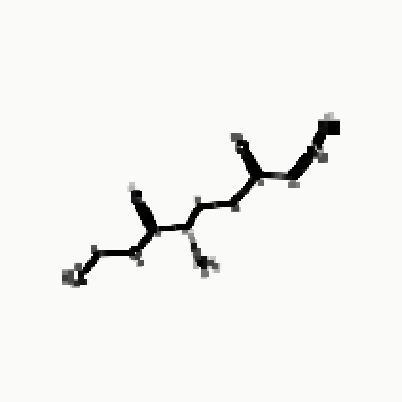 CCOC(=O)[C@@H](N)CCC(=O)C=[N+]=N